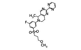 COCCCS(=O)(=O)c1cc(F)cc(N2CCc3nc(-c4ncccn4)ncc3C2C)c1